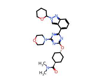 CN(C)C(=O)[C@H]1CC[C@H](Oc2nc(-c3cccc4nn(C5CCCCO5)cc34)nc(N3CCOCC3)n2)CC1